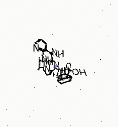 N=C(/N=C(/N[C@H]1C2CCC(CC2)[C@@H]1C(=O)O)C1=CCCN1)C(=N)c1cccnc1N